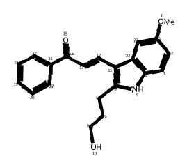 COc1ccc2[nH]c(CCCO)c(/C=C/C(=O)c3ccccc3)c2c1